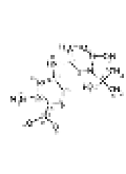 CC(CN(C(=O)O)C(C)(C)C)Nc1ccc([N+](=O)[O-])c(N)n1